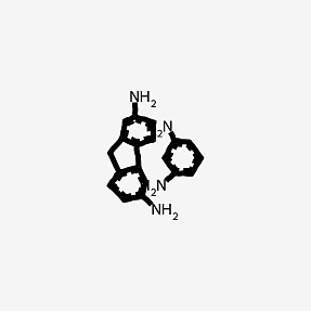 Nc1ccc2c(c1)Cc1ccc(N)cc1-2.Nc1cccc(N)c1